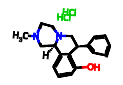 CN1CCN2C[C@@H](c3ccccc3)c3c(O)cccc3[C@H]2C1.Cl.Cl